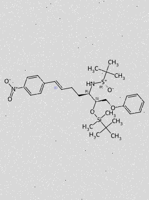 CC(C)(C)[S@+]([O-])N[C@H](CC/C=C/c1ccc([N+](=O)[O-])cc1)[C@@H](COc1ccccc1)O[Si](C)(C)C(C)(C)C